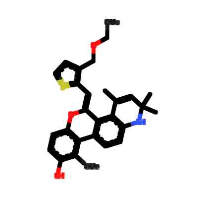 COCOCc1ccsc1/C=C1\Oc2ccc(O)c(OC)c2-c2ccc3c(c21)C(C)=CC(C)(C)N3